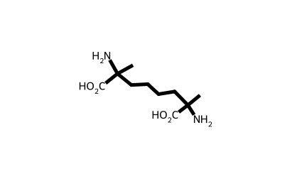 CC(N)(CCCCC(C)(N)C(=O)O)C(=O)O